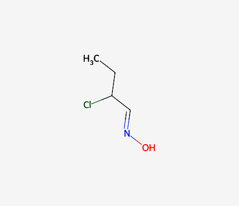 CCC(Cl)C=NO